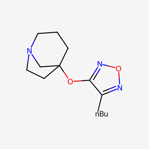 CCCCc1nonc1OC12CCCN(CC1)C2